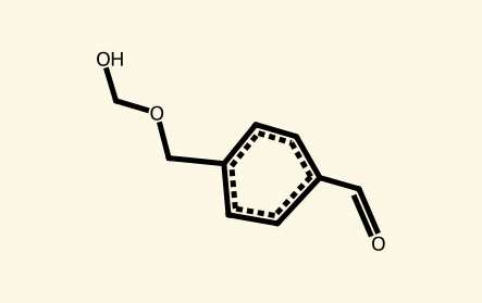 O=Cc1ccc(COCO)cc1